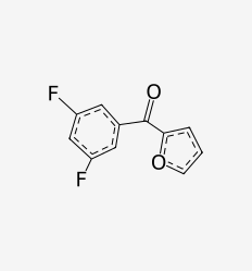 O=C(c1cc(F)cc(F)c1)c1ccco1